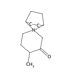 CC1CC[N+]2(CC1=O)C1CCC2CC1